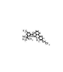 CC(NC(=O)c1cc(C(F)(F)F)cc(C(C)(C)C#N)c1)c1nccnc1-c1ncc(OCC(F)(F)F)cn1